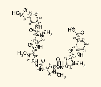 Cn1cc(NC(=O)Nc2cc(C(=O)Nc3cc(C(=O)Nc4cccc(CC(=O)O)c4)n(C)c3)n(C)c2)cc1C(=O)Nc1cc(C(=O)Nc2cccc(CC(=O)O)c2)n(C)c1